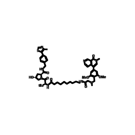 COc1cc(-c2cn(C)c(=O)c3cnccc23)cc(OC)c1CN(C)CC(=O)NCCCCCCCCCC(=O)N[C@H](C(=O)N1C[C@H](O)C[C@H]1C(=O)NCc1ccc(-c2scnc2C)cc1)C(C)(C)C